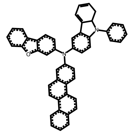 C1=CCC2C(=C1)c1cc(N(c3ccc4c(ccc5c6ccccc6ccc45)c3)c3ccc4c(c3)oc3ccccc34)ccc1N2c1ccccc1